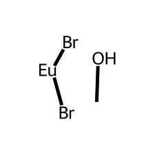 CO.[Br][Eu][Br]